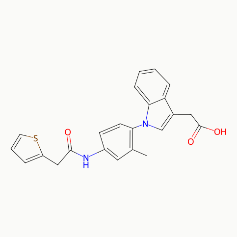 Cc1cc(NC(=O)Cc2cccs2)ccc1-n1cc(CC(=O)O)c2ccccc21